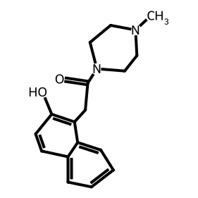 CN1CCN(C(=O)Cc2c(O)ccc3ccccc23)CC1